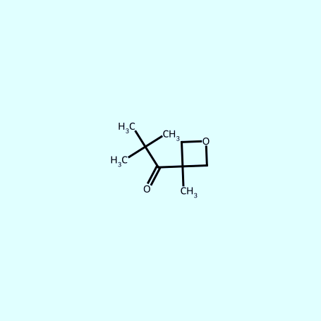 CC(C)(C)C(=O)C1(C)COC1